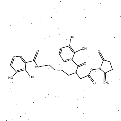 C=C1CCC(=O)N1OC(=O)CN(CCCCNC(=O)c1cccc(O)c1O)C(=O)c1cccc(O)c1O